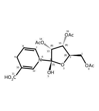 CC(=O)OC[C@H]1O[C@](O)(N2C=CCC(C(=O)O)=C2)[C@H](OC(C)=O)[C@@H]1OC(C)=O